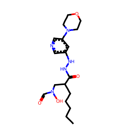 CCCCCC(CN(O)C=O)C(=O)NNc1cncc(N2CCOCC2)c1